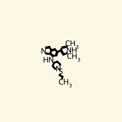 CCCSN1CCC(Nc2cc(C3=CC(C)NC(C)=C3)cc3ccncc23)CC1